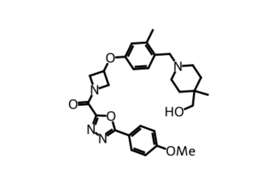 COc1ccc(-c2nnc(C(=O)N3CC(Oc4ccc(CN5CCC(C)(CO)CC5)c(C)c4)C3)o2)cc1